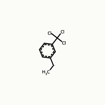 C[CH]c1cccc(C(Cl)(Cl)Cl)c1